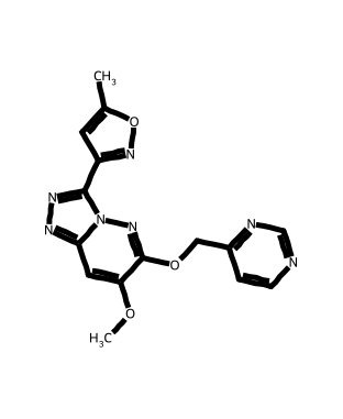 COc1cc2nnc(-c3cc(C)on3)n2nc1OCc1ccncn1